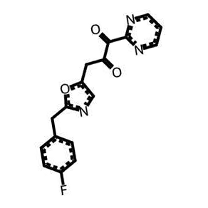 O=C(Cc1cnc(Cc2ccc(F)cc2)o1)C(=O)c1ncccn1